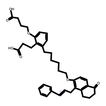 O=C(O)CCCOc1cccc(CCCCCCOc2ccc3c(c2C/C=C/c2ccccc2)CCCC3=O)c1CCC(=O)O